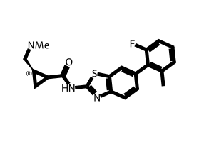 CNC[C@@H]1CC1C(=O)Nc1nc2ccc(-c3c(C)cccc3F)cc2s1